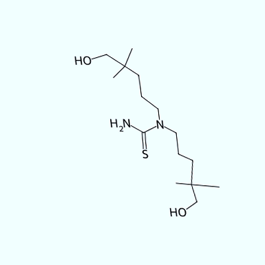 CC(C)(CO)CCCN(CCCC(C)(C)CO)C(N)=S